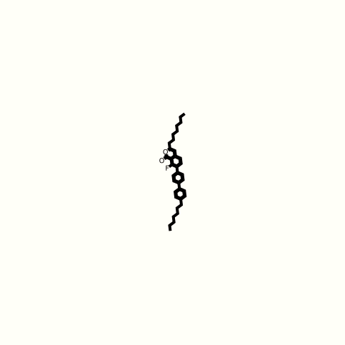 CCCCCCCCc1cc2ccc(-c3ccc(-c4ccc(CCCCCCC)cc4)cc3)c(F)c2c(=O)o1